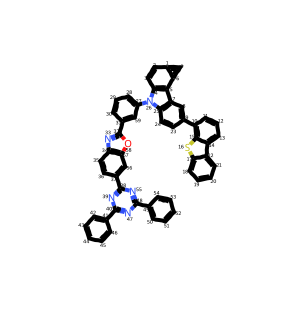 C1=c2ccc3c(c2=1)c1cc(-c2cccc4c2sc2ccccc24)ccc1n3-c1cccc(-c2nc3ccc(-c4nc(-c5ccccc5)nc(-c5ccccc5)n4)cc3o2)c1